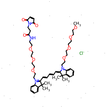 COCCOCCOCCOCCN1/C(=C/C=C/C=C/C2=[N+](CCOCCOCCOCCNC(=O)CCN3C(=O)C=CC3=O)c3ccccc3C2(C)C)C(C)(C)c2ccccc21.[Cl-]